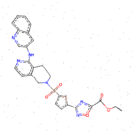 CCOC(=O)c1nc(-c2ccc(S(=O)(=O)N3CCc4c(ccnc4Nc4cnc5ccccc5c4)C3)s2)no1